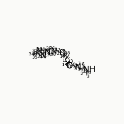 CC(C)(C)N[C@H]1CCN(CCOC(C)(C)CCC(C)(C)OCCN2CCN(c3cnc(C(C)(C)C)cn3)CC2)C1